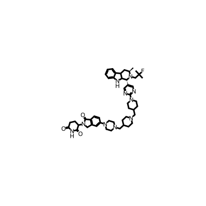 C[C@@H]1CC2c3ccccc3NC2[C@@H](c2cnc(N3CCC(CN4CCC(CN5CCN(c6ccc7c(c6)CN(C6CCC(=O)NC6=O)C7=O)CC5)CC4)CC3)nc2)N1CC(C)(C)F